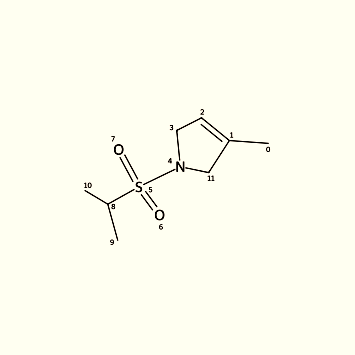 CC1=CCN(S(=O)(=O)C(C)C)C1